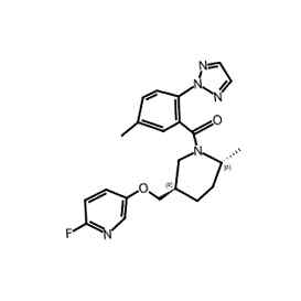 Cc1ccc(-n2nccn2)c(C(=O)N2C[C@H](COc3ccc(F)nc3)CC[C@H]2C)c1